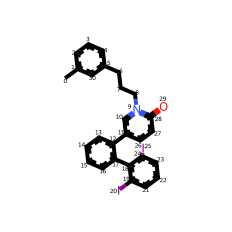 Cc1cccc(CCCn2cc(-c3ccccc3-c3c(I)cccc3I)ccc2=O)c1